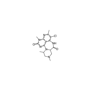 Cc1nc2c3c(nc(=O)n2C)N2C(C)CN(C)CC2C(=O)Nc3c1Cl